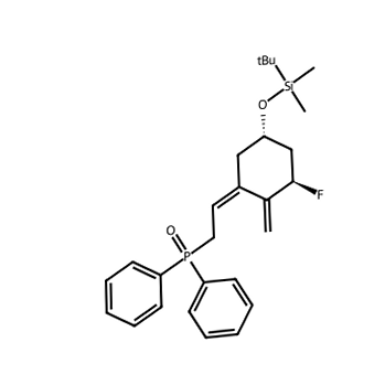 C=C1/C(=C\CP(=O)(c2ccccc2)c2ccccc2)C[C@H](O[Si](C)(C)C(C)(C)C)C[C@H]1F